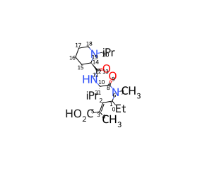 CCC(/C=C(\C)C(=O)O)N(C)C(=O)[C@@H](NC(=O)[C@H]1CCCCN1C(C)C)C(C)C